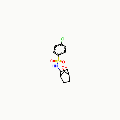 O=S(=O)(NC1CC2CCC1C2O)c1ccc(Cl)cc1